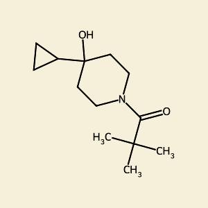 CC(C)(C)C(=O)N1CCC(O)(C2CC2)CC1